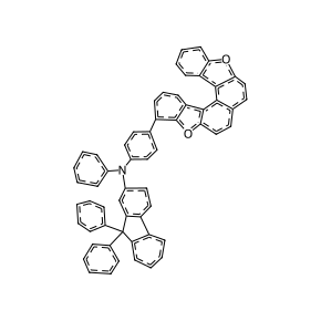 c1ccc(N(c2ccc(-c3cccc4c3oc3ccc5ccc6oc7ccccc7c6c5c34)cc2)c2ccc3c(c2)C(c2ccccc2)(c2ccccc2)c2ccccc2-3)cc1